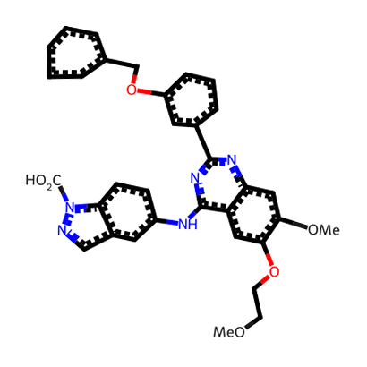 COCCOc1cc2c(Nc3ccc4c(cnn4C(=O)O)c3)nc(-c3cccc(OCc4ccccc4)c3)nc2cc1OC